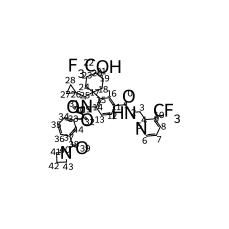 O=C(NCc1ncccc1C(F)(F)F)c1ccc2c(c1)C1(CCC(O)(C(F)(F)F)CC1)C(C1CC1)N2S(=O)(=O)c1cccc(C(=O)N2CCC2)c1